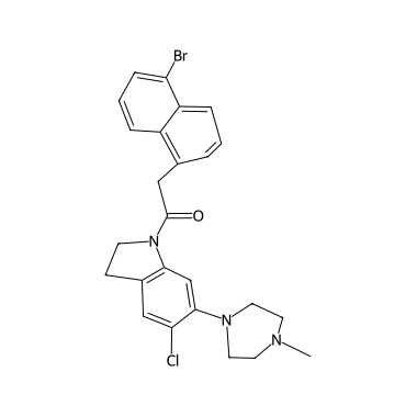 CN1CCN(c2cc3c(cc2Cl)CCN3C(=O)Cc2cccc3c(Br)cccc23)CC1